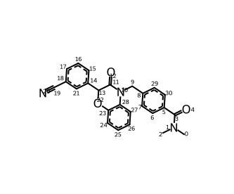 CN(C)C(=O)c1ccc(CN2C(=O)C(c3cccc(C#N)c3)Oc3ccccc32)cc1